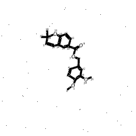 COc1ccc(COC(=O)c2ccc3c(c2)C=CC(C)(C)O3)cc1OC